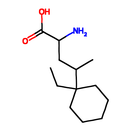 CCC1(C(C)CC(N)C(=O)O)CCCCC1